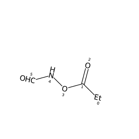 CCC(=O)ONC=O